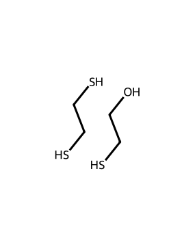 OCCS.SCCS